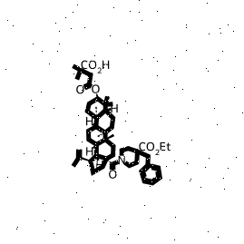 C=C(C)[C@@H]1CC[C@]2(C(=O)N3CCC(Cc4ccccc4)(C(=O)OCC)CC3)CC[C@]3(C)[C@H](CC[C@@H]4[C@@]5(C)CC[C@H](OC(=O)CC(C)(C)C(=O)O)C(C)(C)[C@@H]5CC[C@]43C)[C@@H]12